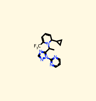 CC(c1ncnn1-c1ncccn1)N1C(C(F)(F)F)=CC=CC1C1CC1